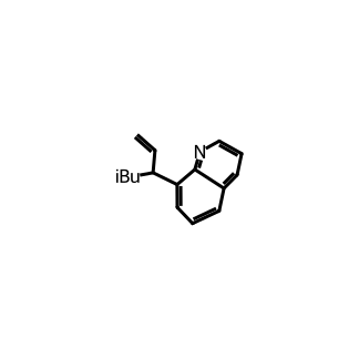 C=CC(c1cccc2cccnc12)C(C)CC